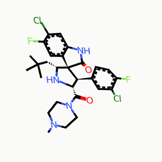 CN1CCN(C(=O)[C@@H]2N[C@H](CC(C)(C)C)[C@]3(C(=O)Nc4cc(Cl)c(F)cc43)[C@H]2c2ccc(F)c(Cl)c2)CC1